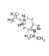 CC(C)C1[C@H]2CCc3cnn(C(C)C)c3CC[C@@H]12